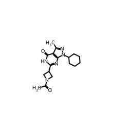 BC(=O)N1CC(c2nc3c(c(C)nn3C3CCCCC3)c(=O)[nH]2)C1